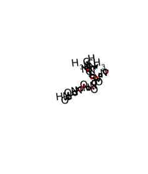 CC(C)n1cnc2cc(-c3ccc4c(c3)N([C@H]3C[C@@H](N5CCCCC5)C3)C(=O)C43CCN(C(=O)[C@H]4CCN(C(=O)C5CCN(c6ccc(C7CCC(=O)NC7=O)cn6)CC5)C4)CC3)nc(NC3CC3)c21